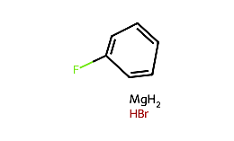 Br.Fc1ccccc1.[MgH2]